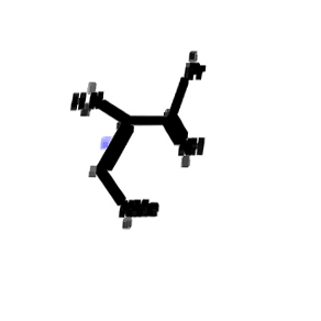 CN/C=C(/N)C(=N)C(C)C